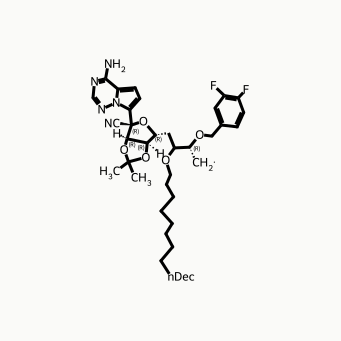 [CH2][C@@H](OCc1ccc(F)c(F)c1)C(C[C@H]1O[C@@](C#N)(c2ccc3c(N)ncnn23)[C@@H]2OC(C)(C)O[C@@H]21)OCCCCCCCCCCCCCCCCCC